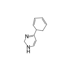 C1=CCC(C2=NCNC=C2)C=C1